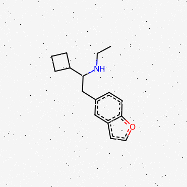 CCNC(Cc1ccc2occc2c1)C1CCC1